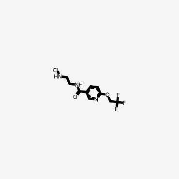 O=C(NCCNCl)c1ccc(OCC(F)(F)F)nc1